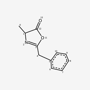 CC1N=C(Cc2ccccc2)OC1=O